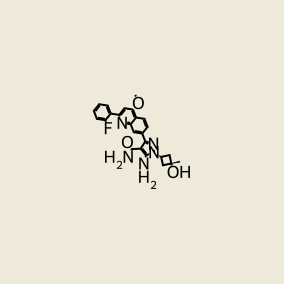 COc1cc(-c2ccccc2F)nc2cc(-c3nn([C@H]4C[C@@](C)(O)C4)c(N)c3C(N)=O)ccc12